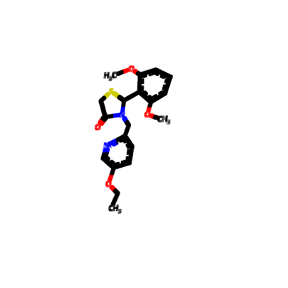 CCOc1ccc(CN2C(=O)CSC2c2c(OC)cccc2OC)nc1